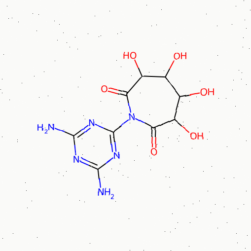 Nc1nc(N)nc(N2C(=O)C(O)C(O)C(O)C(O)C2=O)n1